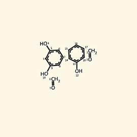 C=O.C=O.Oc1cccc(O)c1.Oc1ccccc1